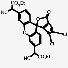 CCOC(=O)C(C#N)c1ccc2c(c1)Oc1cc(C(C#N)C(=O)OCC)ccc1C21OC(=O)c2cc(Cl)c(Cl)cc21